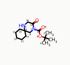 CC(C)(C)OC(=O)N1CC2(CCCCC2)NCC1=O